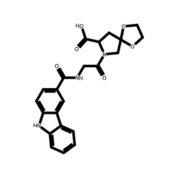 O=C(NCC(=O)N1CC2(CC1C(=O)O)OCCO2)c1ccc2[nH]c3ccccc3c2c1